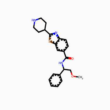 COCC(NC(=O)c1ccc2nc(C3CCNCC3)sc2c1)c1ccccc1